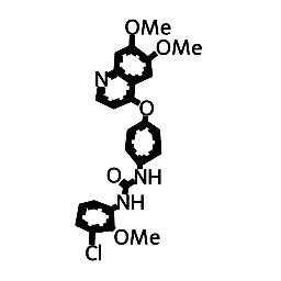 COc1cc2nccc(Oc3ccc(NC(=O)Nc4cccc(Cl)c4OC)cc3)c2cc1OC